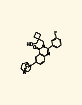 O=c1c2cc(N3CCN4CCC3CC4)ccc2nc(-c2cccc(F)c2)n1CC1(CO)CCC1